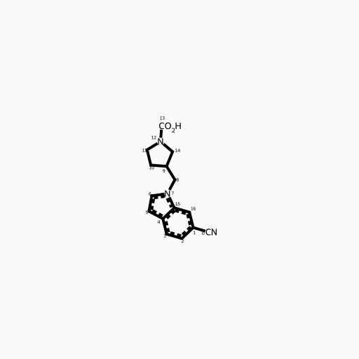 N#Cc1ccc2ccn(CC3CCN(C(=O)O)C3)c2c1